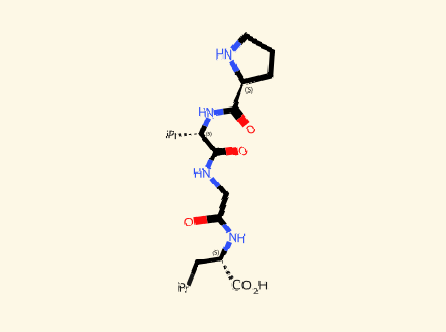 CC(C)C[C@H](NC(=O)CNC(=O)[C@@H](NC(=O)[C@@H]1CCCN1)C(C)C)C(=O)O